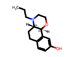 CCCN1CCO[C@H]2c3cc(O)ccc3CC[C@@H]21